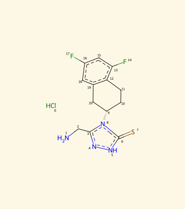 Cl.NCc1n[nH]c(=S)n1[C@H]1CCc2c(F)cc(F)cc2C1